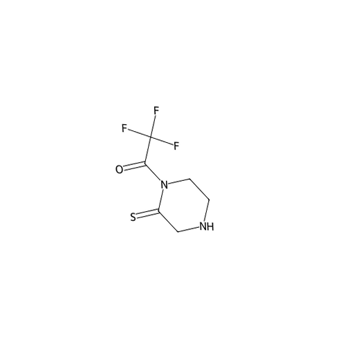 O=C(N1CCNCC1=S)C(F)(F)F